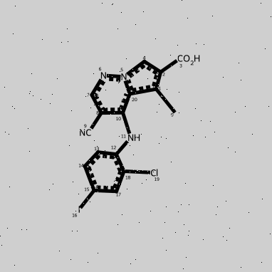 Cc1c(C(=O)O)cn2ncc(C#N)c(Nc3ccc(I)cc3Cl)c12